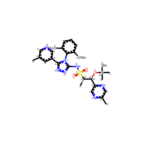 COc1cccc(OC)c1-n1c(NS(=O)(=O)[C@H](C)[C@@H](O[Si](C)(C)C(C)(C)C)c2cnc(C)cn2)nnc1-c1cncc(C)c1